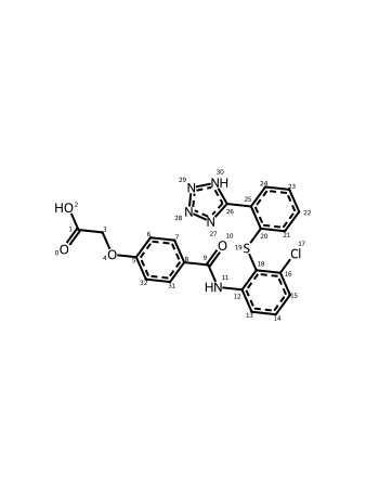 O=C(O)COc1ccc(C(=O)Nc2cccc(Cl)c2Sc2ccccc2-c2nnn[nH]2)cc1